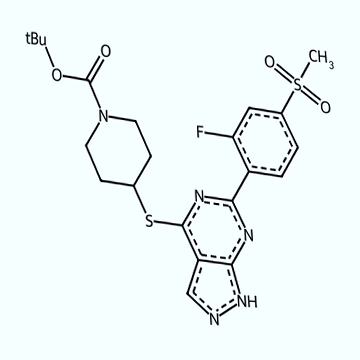 CC(C)(C)OC(=O)N1CCC(Sc2nc(-c3ccc(S(C)(=O)=O)cc3F)nc3[nH]ncc23)CC1